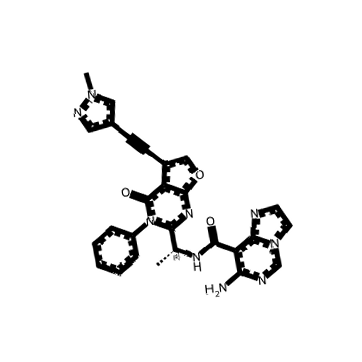 C[C@@H](NC(=O)c1c(N)ncn2ccnc12)c1nc2occ(C#Cc3cnn(C)c3)c2c(=O)n1-c1ccccc1